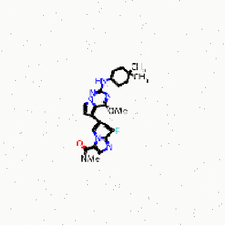 CNC(=O)c1cnc2c(F)cc(-c3ccn4nc(NC5CCC(C)(C)CC5)nc(OC)c34)cn12